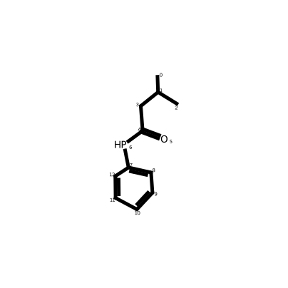 CC(C)CC(=O)Pc1ccccc1